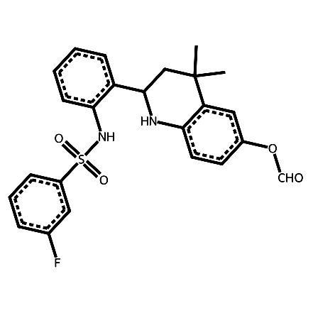 CC1(C)CC(c2ccccc2NS(=O)(=O)c2cccc(F)c2)Nc2ccc(OC=O)cc21